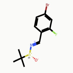 CC(C)(C)[S@@+]([O-])/N=C/c1ccc(Br)cc1F